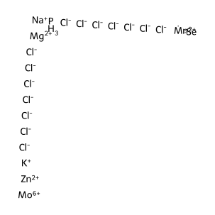 P.[Cl-].[Cl-].[Cl-].[Cl-].[Cl-].[Cl-].[Cl-].[Cl-].[Cl-].[Cl-].[Cl-].[Cl-].[Cl-].[Cl-].[K+].[Mg+2].[Mn+2].[Mo+6].[Na+].[Se].[Zn+2]